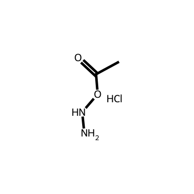 CC(=O)ONN.Cl